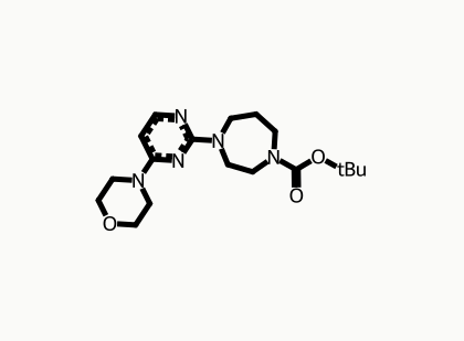 CC(C)(C)OC(=O)N1CCCN(c2nccc(N3CCOCC3)n2)CC1